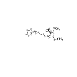 CCCCN(CCCCCNC1CCCCC1)C(=O)CCC